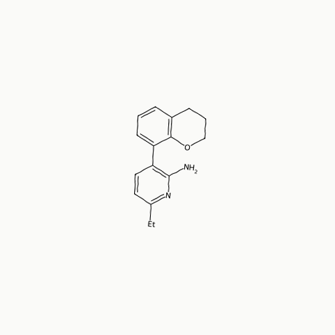 CCc1ccc(-c2cccc3c2OCCC3)c(N)n1